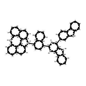 c1ccc2c(c1)oc1cc(-c3nc(-c4ccc(-n5c6ccc7cccc8oc9cccc%10ccc5c(c%109)c6c78)c5ccccc45)nc4c3sc3ccccc34)ccc12